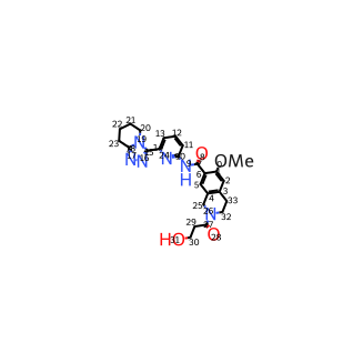 COc1cc2c(cc1C(=O)Nc1cccc(-c3nnc4n3CCCC4)n1)CN(C(=O)CCO)CC2